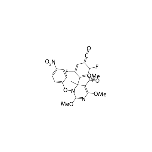 COC(=O)C1=C(OC)N=C(OC)N(Oc2ccc([N+](=O)[O-])cc2)C1(C)C1=C(F)C(F)C(=C=O)C=C1F